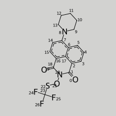 O=C1c2cccc3c(N4CCCCC4)ccc(c23)C(=O)N1OSC(F)(F)F